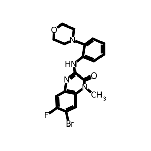 Cn1c(=O)c(Nc2ccccc2N2CCOCC2)nc2cc(F)c(Br)cc21